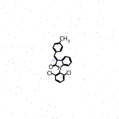 Cc1ccc(/C=C2/C(=O)N(c3c(Cl)cccc3Cl)c3ccccc32)cc1